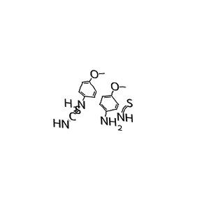 COc1ccc(N)cc1.COc1ccc(N)cc1.N=C=S.N=C=S